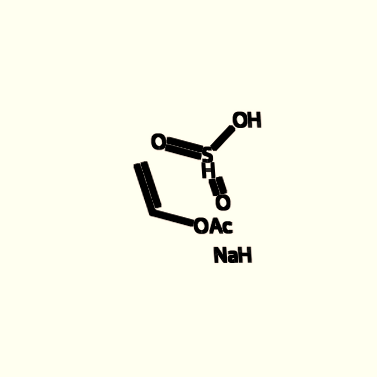 C=COC(C)=O.O=[SH](=O)O.[NaH]